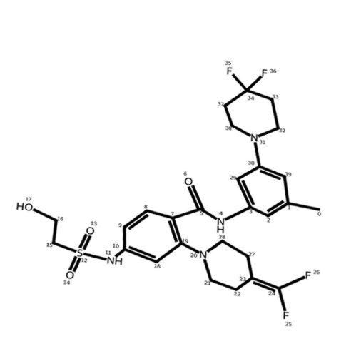 Cc1cc(NC(=O)c2ccc(NS(=O)(=O)CCO)cc2N2CCC(=C(F)F)CC2)cc(N2CCC(F)(F)CC2)c1